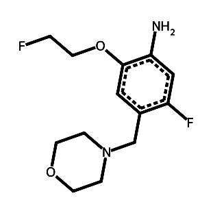 Nc1cc(F)c(CN2CCOCC2)cc1OCCF